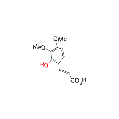 COc1ccc(/C=C/C(=O)O)c(O)c1OC